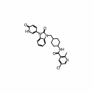 Cc1ncc(Cl)cc1C(=O)NC1CCC(Cn2c(=O)n(-c3ccc(=O)[nH]c3)c3ccccc32)CC1